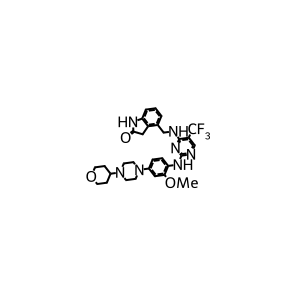 COc1cc(N2CCN(C3CCOCC3)CC2)ccc1Nc1ncc(C(F)(F)F)c(NCc2cccc3c2CC(=O)N3)n1